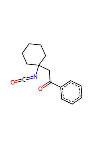 O=C=NC1(CC(=O)c2ccccc2)CCCCC1